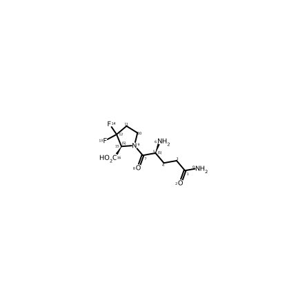 NC(=O)CC[C@H](N)C(=O)N1CCC(F)(F)[C@@H]1C(=O)O